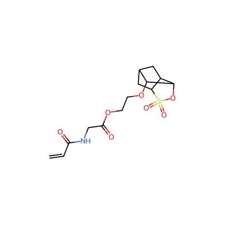 C=CC(=O)NCC(=O)OCCOC1C2CC3C1OS(=O)(=O)C3C2